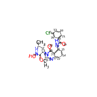 CCCC(C(=O)NO)n1c(C)nc2cccc(NC(=O)c3cccc(Cl)c3)c2c1=O